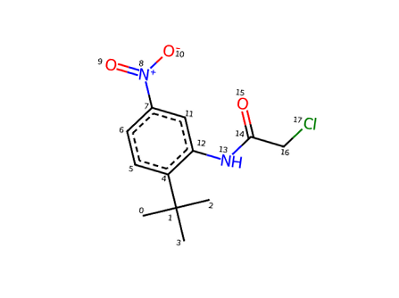 CC(C)(C)c1ccc([N+](=O)[O-])cc1NC(=O)CCl